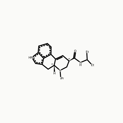 CCC(CC)NC(=O)[C@@H]1C=C2c3cccc4[nH]cc(c34)C[C@H]2N(C(C)C)C1